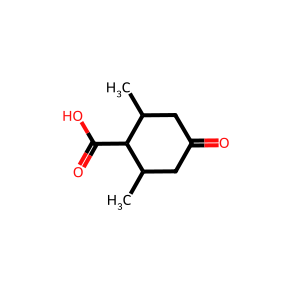 CC1CC(=O)CC(C)C1C(=O)O